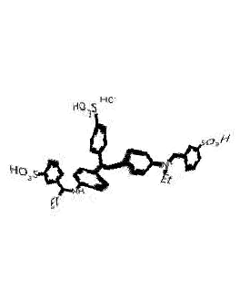 CCC(Nc1ccc(C(=C2C=CC(=[N+](CC)Cc3cccc(S(=O)(=O)O)c3)C=C2)c2ccc(S(=O)(=O)O)cc2)cc1)c1cccc(S(=O)(=O)O)c1.[OH-]